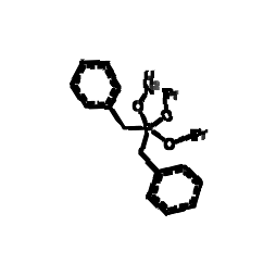 CC(C)OP(Cc1ccccc1)(Cc1ccccc1)(ON)OC(C)C